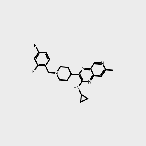 Cc1cc2nc(NC3CC3)c(C3CCN(Cc4ccc(F)cc4F)CC3)nc2cn1